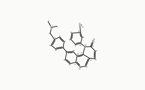 CN(C)Cc1ccc(-c2ccc3ncc4ccc(=O)n(-c5cccc(C(F)(F)F)c5)c4c3c2)cc1